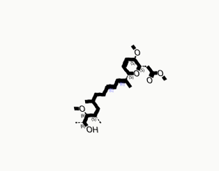 COC(=O)C[C@@H]1O[C@H](/C(C)=C/C=C/CCC(C)C[C@H](C)[C@@H](OC)[C@@H](C)O)C=C[C@@H]1OC